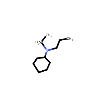 CCCN([SiH2]C)C1CCCCC1